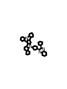 c1ccc(-c2nc3ccccc3nc2-c2ccc(-n3c4cc5c6ccccc6n6c7ccccc7c(c4c4ccc7ccccc7c43)c56)cc2)cc1